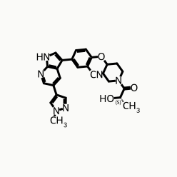 C[C@H](O)C(=O)N1CCC(Oc2ccc(-c3c[nH]c4ncc(-c5cnn(C)c5)cc34)cc2C#N)CC1